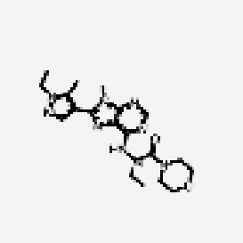 CC[C@@H](Nc1ncnc2c1nc(-c1cnn(CC)c1C)n2C)C(=O)N1CCOCC1